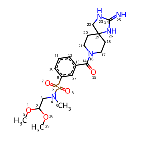 COC(CN(C)S(=O)(=O)c1cccc(C(=O)N2CCC3(CC2)CNC(=N)N3)c1)OC